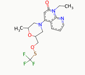 CCn1c(=O)cc(N2CC(C)OC(COSC(F)(F)F)C2)c2cccnc21